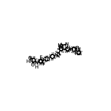 N#Cc1cnn2cc(-c3cnn(C4CCC(N5CCN(c6c(F)cc(NC7CCC(=O)NC7=O)cc6F)CC5)CC4)c3)cc(-c3ccc(N4CCC5(CC4)OCc4cccnc45)nc3)c12